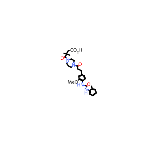 COc1cc(CCC(=O)N2CCCN(C(=O)C(C)(C)CC(=O)O)CC2)ccc1NC(=O)Nc1ccccc1C